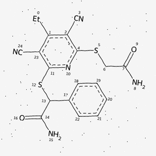 CCc1c(C#N)c(SCC(N)=O)nc(SC(C(N)=O)c2ccccc2)c1C#N